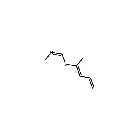 C=C/C=C(\C)S/C=N\C